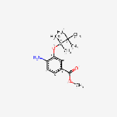 COC(=O)c1ccc(N)c(O[Si](C)(C)C(C)(C)C)c1